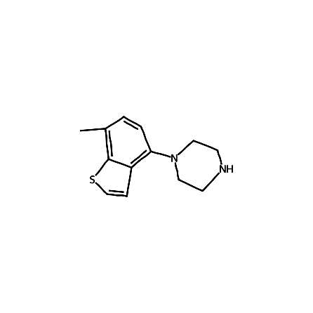 Cc1ccc(N2CCNCC2)c2ccsc12